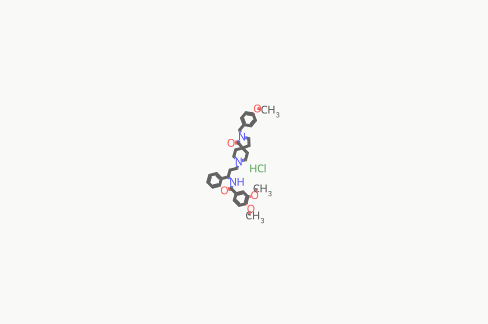 COc1ccc(CN2CCC3(CCN(CCC(NC(=O)c4ccc(OC)c(OC)c4)c4ccccc4)CC3)C2=O)cc1.Cl